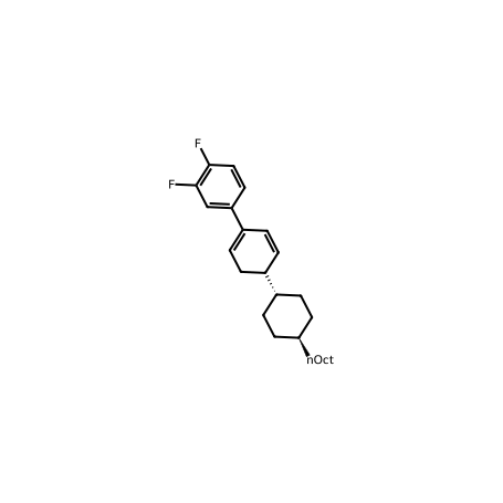 CCCCCCCC[C@H]1CC[C@H](C2C=CC(c3ccc(F)c(F)c3)=CC2)CC1